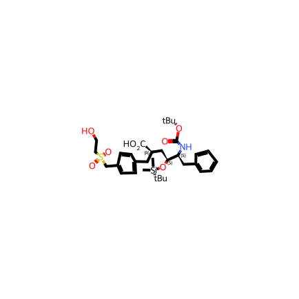 CC(C)(C)OC(=O)N[C@@H](Cc1ccccc1)[C@H](C[C@@H](Cc1ccc(CS(=O)(=O)CCO)cc1)C(=O)O)O[Si](C)(C)C(C)(C)C